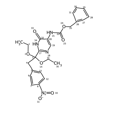 CCOC(Cc1ccc([N+](=O)[O-])cc1)(OCC)c1ncc(NC(=O)OCc2ccccc2)c(=O)[nH]1